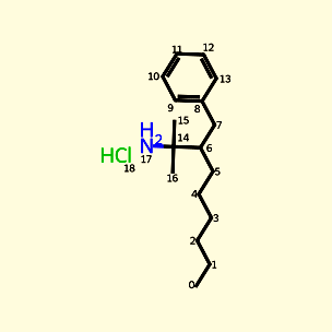 CCCCCCC(Cc1ccccc1)C(C)(C)N.Cl